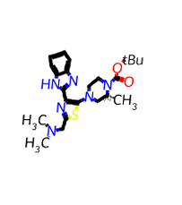 C[C@@H]1CN(c2sc(CN(C)C)nc2-c2nc3ccccc3[nH]2)CCN1C(=O)OC(C)(C)C